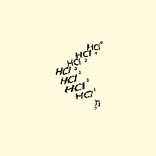 Cl.Cl.Cl.Cl.Cl.Cl.Cl.[Ti]